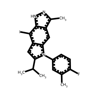 Cc1cc(-n2c(C(C)C)cc3c(I)c4[nH]nc(C)c4cc32)ccc1F